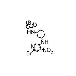 CC(C)(C)OC(=O)N[C@H]1CCC[C@@H](Nc2cnc(Br)cc2[N+](=O)[O-])C1